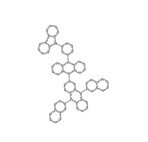 c1cc(-c2c3ccccc3c(-c3ccc4c(-c5ccc6ccccc6c5)c5ccccc5c(-c5ccc6ccccc6c5)c4c3)c3ccccc23)cc(-n2c3ccccc3c3ccccc32)c1